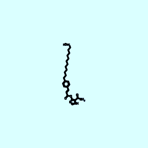 CCCCCCCCCCCCCCCCCCCCCCc1ccc(C=CC(=O)Oc2nc[nH]c2C(N)=O)cc1